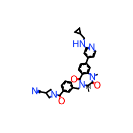 C[C@@H]1C(=O)N(C)c2cc(-c3ccnc(NCC4CC4)c3)ccc2C(=O)N1Cc1cccc(C(=O)N2CC(C#N)C2)c1